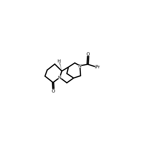 CC(C)C(=O)N1CC2CC(C1)[C@@H]1CCCC(=O)N1C2